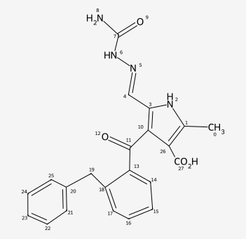 Cc1[nH]c(C=NNC(N)=O)c(C(=O)c2ccccc2Cc2ccccc2)c1C(=O)O